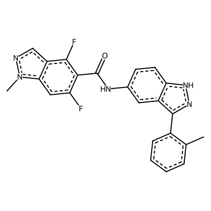 Cc1ccccc1-c1n[nH]c2ccc(NC(=O)c3c(F)cc4c(cnn4C)c3F)cc12